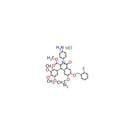 COC(=O)c1c(-c2cc(OC)c(OC)c(OC)c2)c2cc(OC)c(OCc3ccccc3F)cc2c(=O)n1-c1ccc(N)cc1.Cl